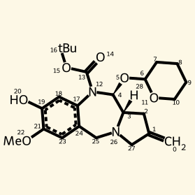 C=C1C[C@H]2[C@H](OC3CCCCO3)N(C(=O)OC(C)(C)C)c3cc(O)c(OC)cc3CN2C1